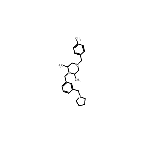 Cc1ccc(CN2CC(C)N(Cc3cccc(CN4CCCC4)c3)C(C)C2)cc1